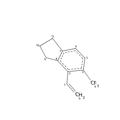 C=Cc1c(C(F)(F)F)ccc2c1CCC2